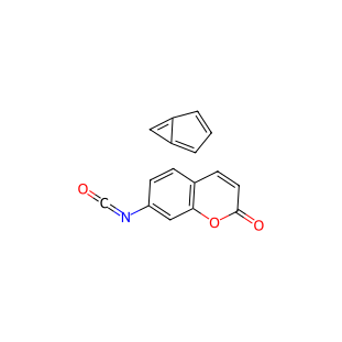 O=C=Nc1ccc2ccc(=O)oc2c1.c1cc2cc-2c1